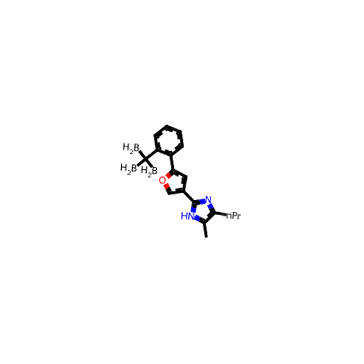 BC(B)(B)c1ccccc1-c1cc(-c2nc(CCC)c(C)[nH]2)co1